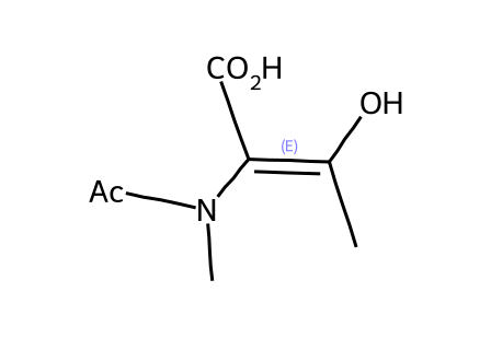 CC(=O)N(C)/C(C(=O)O)=C(\C)O